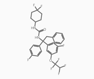 O=C(NC1CCC(F)(F)CC1)NC(Cc1ccccc1)(c1ccc(F)cc1)c1cc(F)cc(OC(F)(F)C(F)F)c1